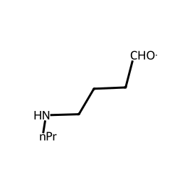 CCCNCCC[C]=O